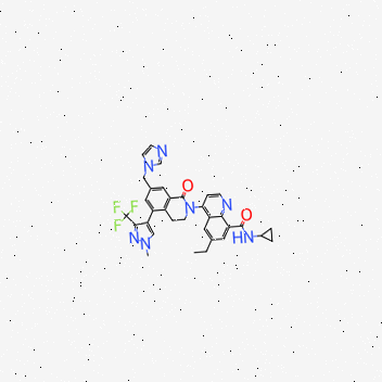 CCc1cc(C(=O)NC2CC2)c2nccc(N3CCc4c(cc(Cn5ccnc5)cc4-c4cn(C)nc4C(F)(F)F)C3=O)c2c1